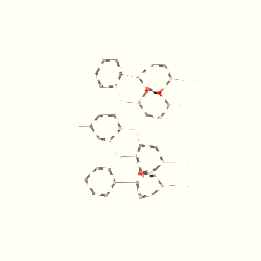 Cc1ccc(N2c3ccc(C(C)(C)C)cc3B3c4cc(C(C)(C)C)ccc4N(c4ccc(C)cc4-c4ccc(C(C)(C)C)cn4)c4cc(C)cc2c43)c(-c2ccc(C(C)(C)C)cn2)c1